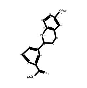 COC(=O)c1cccc(C2CCc3cc(OC)ccc3N2)c1